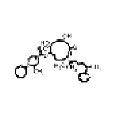 C/C(=C\C=C\[C@@H](C)c1ccccn1)[C@H]1OC(=O)C[C@H](O)CC[C@@](C)(O)[C@@H](OC(=O)N2CCN(C3CCCCCC3)C(C)C2)/C=C/[C@@H]1C